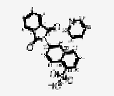 O=C1c2ccccc2C(=O)N1c1ccc2c(S(=O)(=O)O)cccc2c1.c1ccncc1